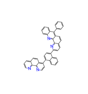 c1ccc(-c2c3ccccc3nc3c2ccc2ccc(-c4ccc(-c5ccnc6c5ccc5cccnc56)c5ccccc45)nc23)cc1